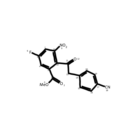 COC(=O)c1cc(F)cc([N+](=O)[O-])c1C(=O)Cc1ccc(C#N)cc1